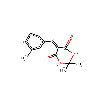 Cc1cccc(C=C2C(=O)OC(C)(C)OC2=O)c1